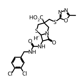 Cc1nnc(SCC2(C(=O)O)CS[C@@H]3C(NC(=O)NCc4ccc(Cl)c(Cl)c4)C(=O)N3C2)o1